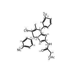 [C-]#[N+]C1=C(C)N(c2cccc(C(F)(F)F)c2)c2nc(NC(=O)COC(C)=O)nn2[C@@H]1c1ccc(C#N)cc1